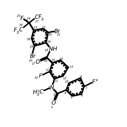 CN(C(=O)c1ccc(F)cc1)c1cccc(C(=O)Nc2c(Br)cc(C(F)(C(F)(F)F)C(F)(F)F)cc2Br)c1F